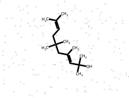 CC(C)=CCC(C)(C)C/C(C)=C/C(C)(C)O